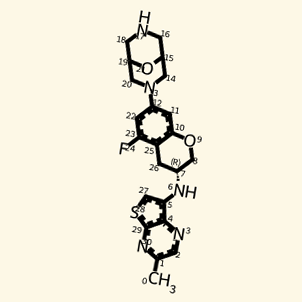 Cc1cnc2c(N[C@H]3COc4cc(N5CC6CNCC(C5)O6)cc(F)c4C3)csc2n1